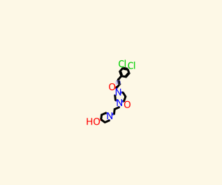 O=C(/C=C/c1ccc(Cl)c(Cl)c1)N1CCC(=O)N(CCCN2CCC(O)CC2)CC1